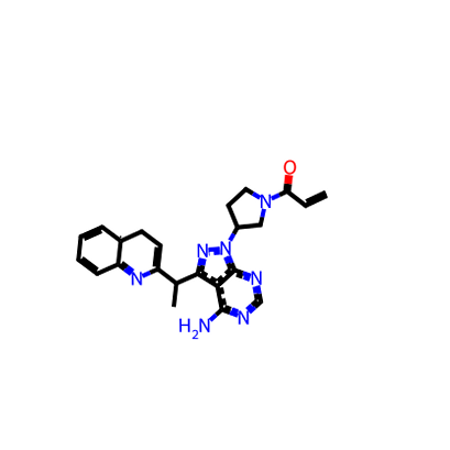 C=CC(=O)N1CCC(n2nc(C(C)C3=CC[C]4C=CC=CC4=N3)c3c(N)ncnc32)C1